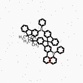 CC(C)(C)c1ccc2c(c1)-c1cc(-c3ccccc3)c(N(c3ccccc3)c3ccccc3)cc1C21c2ccccc2-c2ccc(N(c3ccccc3)c3ccc4c(c3)-c3ccccc3C4(C)C)cc21